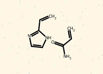 C=CC(N)=O.C=Cc1ncc[nH]1